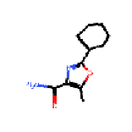 Cc1oc(C2CCCCC2)nc1C(N)=O